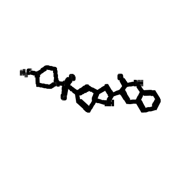 CN1CCN(S(=O)(=O)c2ccc3[nH]c(-c4cc5ccccc5[nH]c4=O)cc3c2)CC1